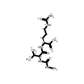 BNC(=S)N[C@H](C(=O)N[C@@H](CCCNC(N)=O)C(C)=O)C(C)C